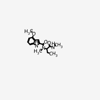 CCC(C(=O)NC)N(C)C(=O)c1cc2c(OC)cccc2[nH]1